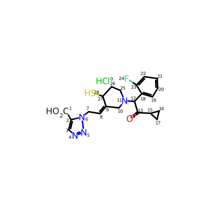 Cl.O=C(O)c1cnnn1CC=C1CN(C(C(=O)C2CC2)c2ccccc2F)CCC1S